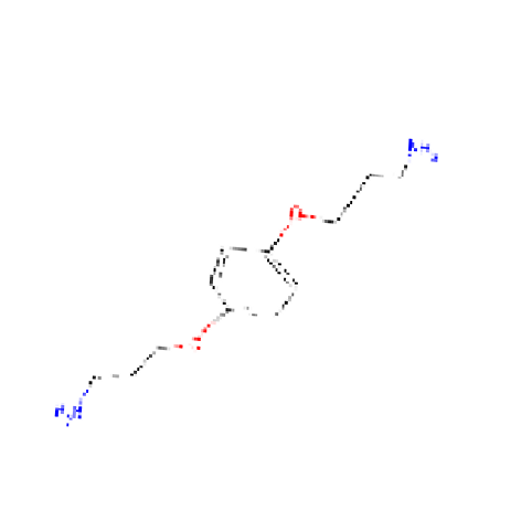 NCCCOc1ccc(OCCCN)cc1